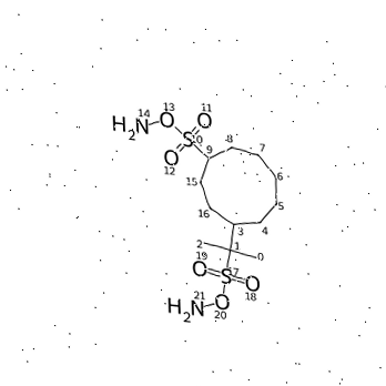 CC(C)(C1CCCCCC(S(=O)(=O)ON)CC1)S(=O)(=O)ON